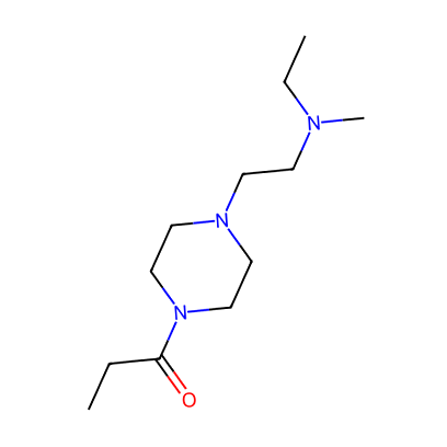 CCC(=O)N1CCN(CCN(C)CC)CC1